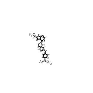 CC(=O)N(C)c1ccc(CN2CCC3(CCN(c4ncnc5sc(CC(F)(F)F)cc45)C3)C2)cc1